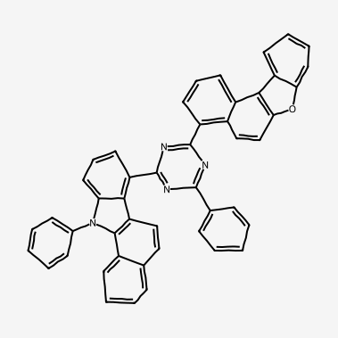 c1ccc(-c2nc(-c3cccc4c3ccc3oc5ccccc5c34)nc(-c3cccc4c3c3ccc5ccccc5c3n4-c3ccccc3)n2)cc1